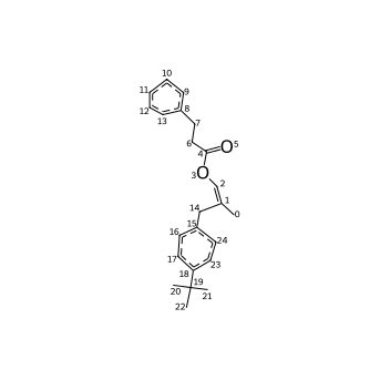 CC(=COC(=O)CCc1ccccc1)Cc1ccc(C(C)(C)C)cc1